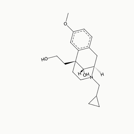 COc1ccc2c(c1)[C@@]1(CCO)CCN(CC3CC3)[C@H](C2)[C@@H]1O